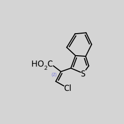 O=C(O)/C(=C/Cl)c1scc2ccccc12